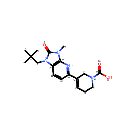 Cn1c(=O)n(CC(C)(C)C)c2ccc(C3=CCCN(C(=O)O)C3)nc21